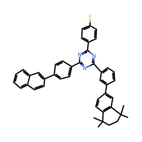 CC1(C)CCC(C)(C)c2cc(-c3cccc(-c4nc(-c5ccc(F)cc5)nc(-c5ccc(-c6ccc7ccccc7c6)cc5)n4)c3)ccc21